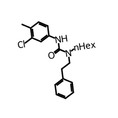 CCCCCCN(CCc1ccccc1)C(=O)Nc1ccc(C)c(Cl)c1